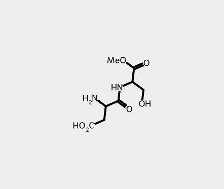 COC(=O)C(CO)NC(=O)C(N)CC(=O)O